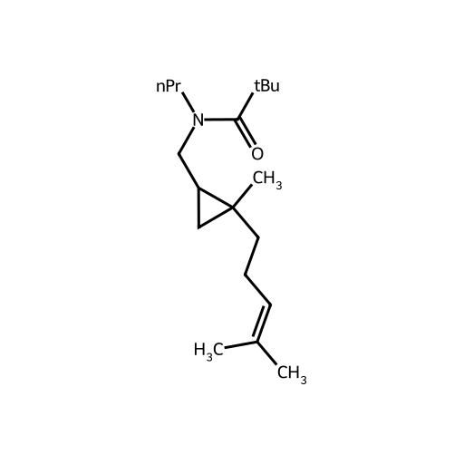 CCCN(CC1CC1(C)CCC=C(C)C)C(=O)C(C)(C)C